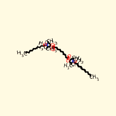 CCCCCCCCCCCON1C(C)(C)CC(OC(=O)CCCCCCCCC(=O)OC2CC(C)(C)N(OCCCCCCCCCCC)C(C)(C)C2)CC1(C)C